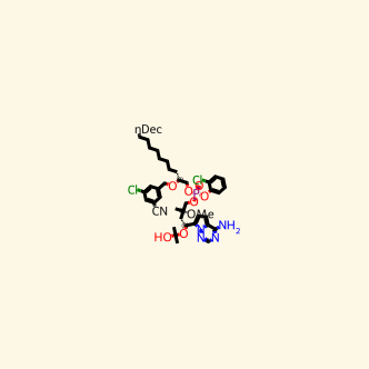 CCCCCCCCCCCCCCCCCC[C@H](COP(=O)(OC[C@](C)(C[C@@H](OC(C)(C)O)c1ccc2c(N)ncnn12)OC)Oc1ccccc1Cl)OCc1cc(Cl)cc(C#N)c1